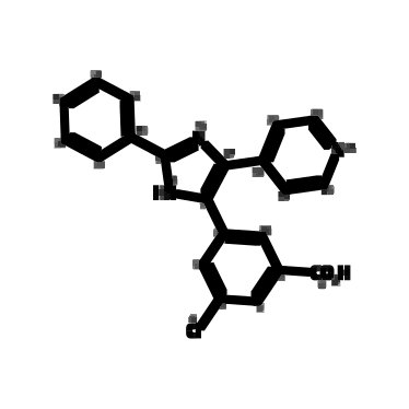 O=C(O)c1cc(Cl)cc(-c2[nH]c(-c3ccccc3)nc2-c2ccncc2)c1